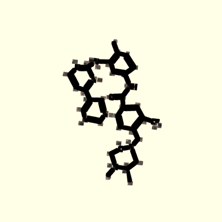 Cc1ccc(NC(=O)c2ccc(CN3CCN(C)[C@H](C)C3)c(C(F)(F)F)c2)cc1Nc1nccc(-c2cncnc2)n1